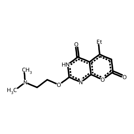 CCc1cc(=O)oc2nc(OCCN(C)C)[nH]c(=O)c12